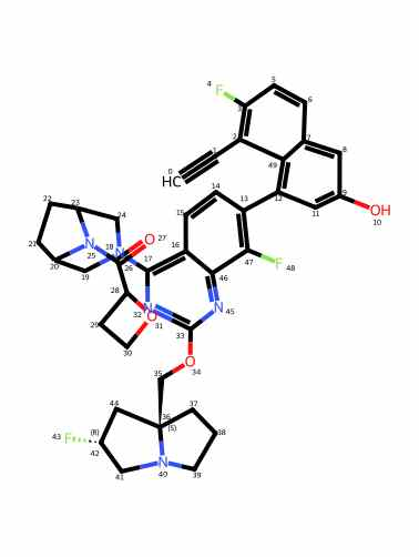 C#Cc1c(F)ccc2cc(O)cc(-c3ccc4c(N5CC6CCC(C5)N6C(=O)C5CCO5)nc(OC[C@@]56CCCN5C[C@H](F)C6)nc4c3F)c12